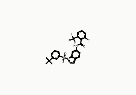 CC(C)(C)c1cccc(S(=O)(=O)n2ncc3ccc(NC(=O)c4c(Cl)cccc4C(F)(F)F)cc32)c1